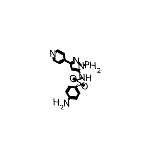 Nc1ccc(S(=O)(=O)Nc2cc(-c3ccncc3)nn2P)cc1